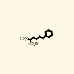 CCOC(=O)C(CCCCc1ccccc1)C(=O)OCC